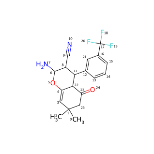 CC1(C)C=C2OC(N)C(C#N)C(c3cccc(C(F)(F)F)c3)C2C(=O)C1